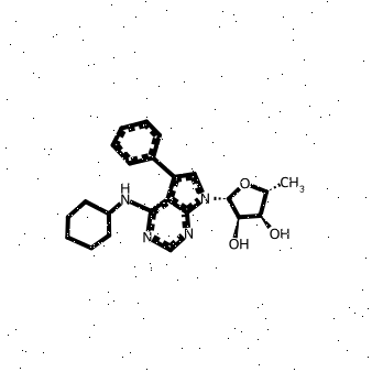 C[C@H]1O[C@@H](n2cc(-c3ccccc3)c3c(NC4CCCCC4)ncnc32)[C@H](O)[C@@H]1O